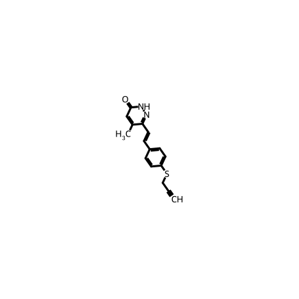 C#CCSc1ccc(C=Cc2n[nH]c(=O)cc2C)cc1